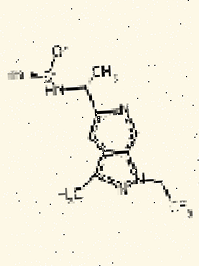 Cc1nn(CC(F)(F)F)c2cnc([C@@H](C)N[S@+]([O-])C(C)(C)C)cc12